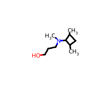 CC1CC(C)C1N(C)CCCO